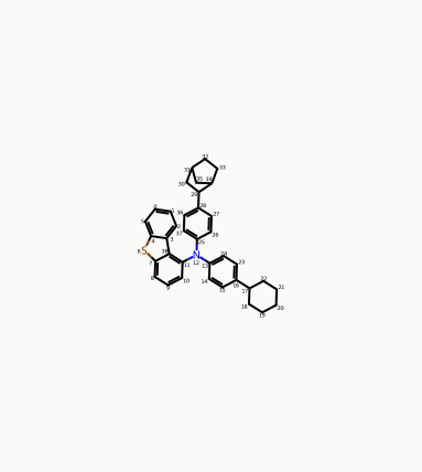 c1ccc2c(c1)sc1cccc(N(c3ccc(C4CCCCC4)cc3)c3ccc(C4CC5CCC4C5)cc3)c12